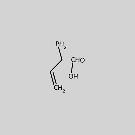 C=CCP.O=CO